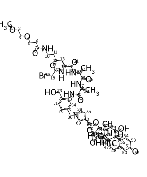 COCCOCCC(=O)NCCCC[C@H](NC(=O)CBr)C(=O)N[C@@H](C)C(=O)N[C@@H](C)C(=O)Nc1cc(Cn2ccc([C@@H]3O[C@@H]4C[C@H]5[C@@H]6CCC7=CC(=O)C=C[C@]7(C)[C@H]6[C@@H](O)C[C@]5(C)[C@]4(C(=O)CO)O3)c2)ccc1CO